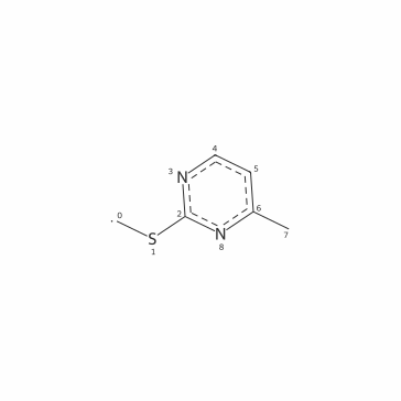 [CH2]Sc1nccc(C)n1